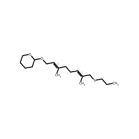 CCCSC/C(C)=C/CC/C(C)=C/COC1CCCCO1